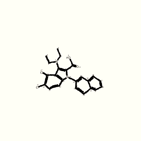 CCN(CC)c1c(C(=O)O)n(-c2ccc3ccccc3c2)c2ccc(Cl)c(Cl)c12